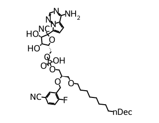 CCCCCCCCCCCCCCCCCCOC[C@H](COP(=O)(O)OC[C@H]1O[C@@](C#N)(c2ccc3c(N)ncnn23)[C@H](O)[C@@H]1O)OCc1cc(C#N)ccc1F